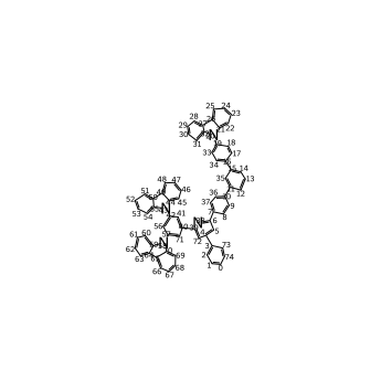 c1ccc(-c2cc(-c3ccc(-c4cccc(-c5ccc(-n6c7ccccc7c7ccccc76)cc5)c4)cc3)nc(-c3cc(-n4c5ccccc5c5ccccc54)cc(-n4c5ccccc5c5ccccc54)c3)c2)cc1